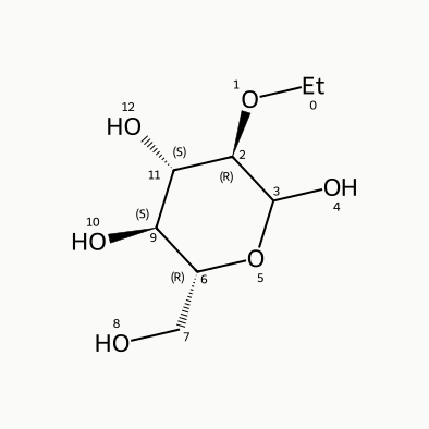 CCO[C@H]1C(O)O[C@H](CO)[C@@H](O)[C@@H]1O